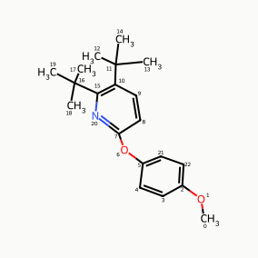 COc1ccc(Oc2ccc(C(C)(C)C)c(C(C)(C)C)n2)cc1